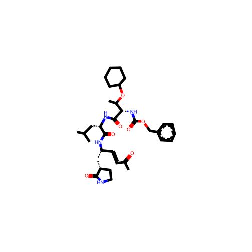 CC(=O)/C=C/[C@H](C[C@@H]1CCNC1=O)NC(=O)[C@H](CC(C)C)NC(=O)[C@@H](NC(=O)OCc1ccccc1)C(C)OC1CCCCC1